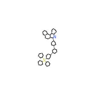 c1ccc(S(c2ccccc2)(c2ccccc2)c2ccc(-c3cccc(-c4ccc(-c5nc6ccccc6c6c5ccc5ccccc56)cc4)c3)cc2)cc1